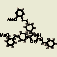 COc1ccccc1CCN1CCC([C@@H](NC(=O)OCc2ccccc2)C(=O)N2CCN(Cc3ccccc3OC)CC2)CC1